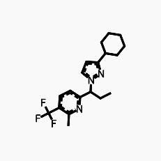 CCC(c1ccc(C(F)(F)F)c(C)n1)n1ccc(C2CCCCC2)n1